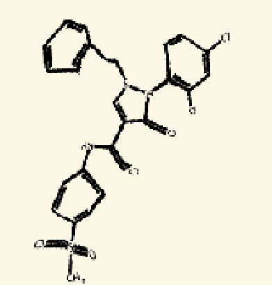 CS(=O)(=O)c1ccc(NC(=O)c2cn(Cc3ccccc3)n(-c3ccc(Cl)cc3Cl)c2=O)cc1